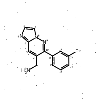 NCc1cc2nccn2nc1-c1cccc(F)c1